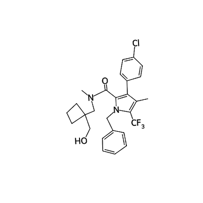 Cc1c(-c2ccc(Cl)cc2)c(C(=O)N(C)CC2(CO)CCC2)n(Cc2ccccc2)c1C(F)(F)F